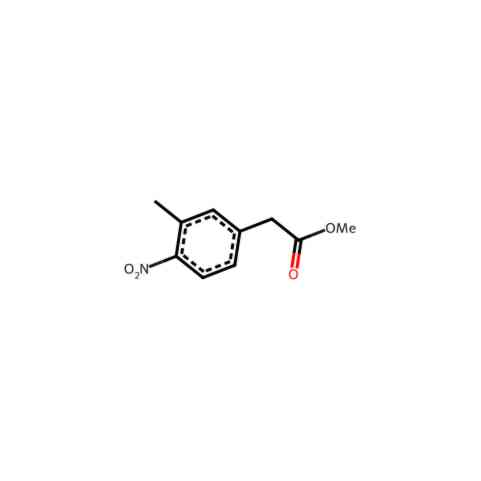 COC(=O)Cc1ccc([N+](=O)[O-])c(C)c1